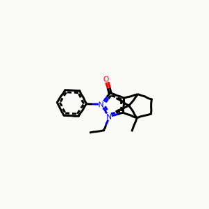 CCn1c2c(c(=O)n1-c1ccccc1)C1CCC2(C)C1(C)C